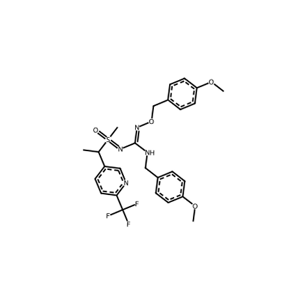 COc1ccc(CN/C(N=S(C)(=O)C(C)c2ccc(C(F)(F)F)nc2)=N\OCc2ccc(OC)cc2)cc1